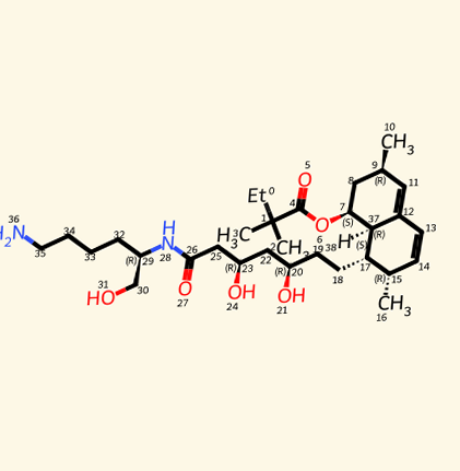 CCC(C)(C)C(=O)O[C@H]1C[C@@H](C)C=C2C=C[C@H](C)[C@H](CC[C@@H](O)C[C@@H](O)CC(=O)N[C@@H](CO)CCCCN)[C@H]21